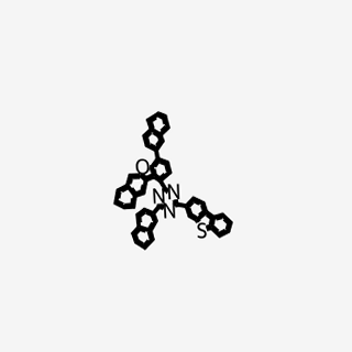 c1ccc2cc(-c3nc(-c4ccc5c(c4)sc4ccccc45)nc(-c4ccc(-c5ccc6ccccc6c5)c5oc6cc7ccccc7cc6c45)n3)ccc2c1